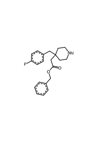 O=C(CC1(Cc2ccc(F)cc2)CCNCC1)OCc1ccccc1